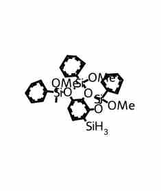 CO[Si](C)(Oc1ccc([SiH3])c(O[Si](C)(OC)c2ccccc2)c1O[Si](C)(OC)c1ccccc1)c1ccccc1